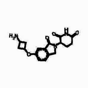 NC1CC(Oc2ccc3c(c2)C(=O)N(C2CCC(=O)NC2=O)C3)C1